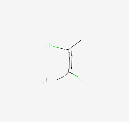 C/C(Cl)=C(\Cl)[C]=O